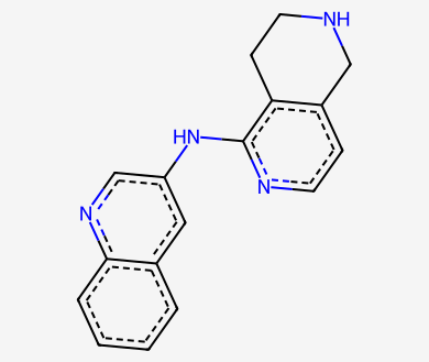 c1ccc2ncc(Nc3nccc4c3CCNC4)cc2c1